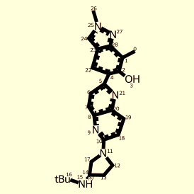 Cc1c(O)c(-c2ccc3nc(N4CC[C@H](NC(C)(C)C)C4)ccc3n2)cc2cn(C)nc12